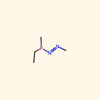 CCP(C)N=NC